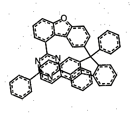 c1ccc(-c2nc(-c3ccccc3)nc(-c3cccc4oc5ccc(C6(c7ccccc7)c7ccccc7-c7cc8ccccc8cc76)cc5c34)n2)cc1